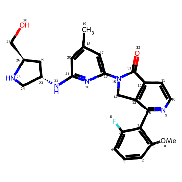 COc1cccc(F)c1-c1nccc2c1CN(c1cc(C)cc(N[C@@H]3CN[C@@H](CO)C3)n1)C2=O